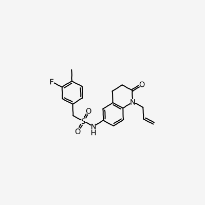 C=CCN1C(=O)CCc2cc(NS(=O)(=O)Cc3ccc(C)c(F)c3)ccc21